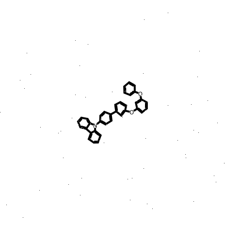 c1ccc(Oc2cccc(Oc3cccc(-c4ccc(-n5c6ccccc6c6ccccc65)cc4)c3)c2)cc1